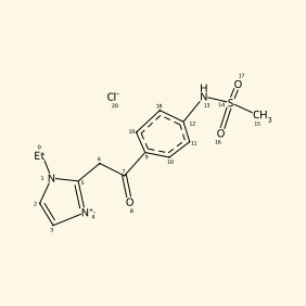 CCN1C=C[N+]=C1CC(=O)c1ccc(NS(C)(=O)=O)cc1.[Cl-]